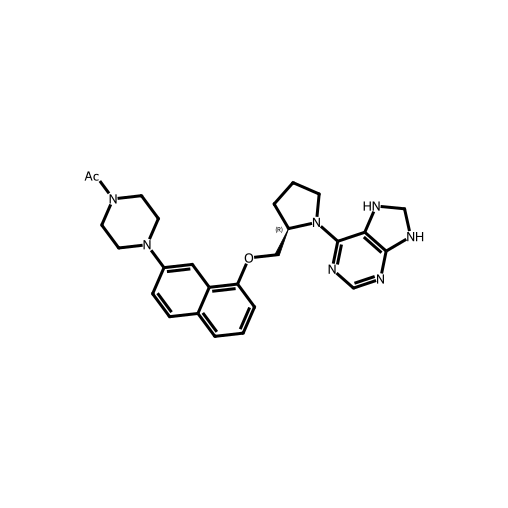 CC(=O)N1CCN(c2ccc3cccc(OC[C@H]4CCCN4c4ncnc5c4NCN5)c3c2)CC1